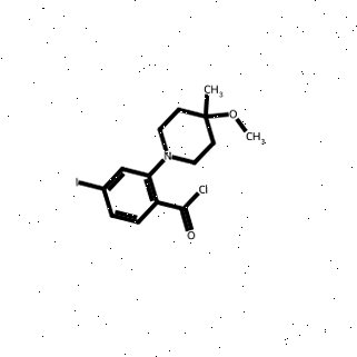 COC1(C)CCN(c2cc(I)ccc2C(=O)Cl)CC1